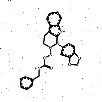 O=C(NCc1ccccc1)OSN1CCc2c([nH]c3ccccc23)[C@H]1c1ccc2c(c1)OCO2